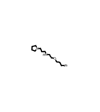 CC(C)CCCOCCNCCCN1CCCC1